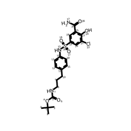 CC(C)(C)OC(=O)NCCCc1ccc(NS(=O)(=O)c2cc(Cl)c(O)c(C(N)=O)c2)cc1